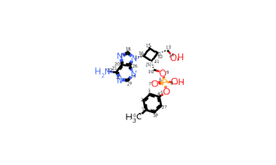 Cc1ccc(OP(=O)(O)OC[C@H]2[C@@H](CO)C[C@H]2n2cnc3c(N)ncnc32)cc1